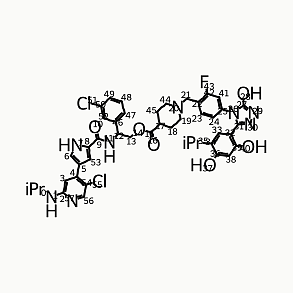 CC(C)Nc1cc(-c2c[nH]c(C(=O)NC(COC(=O)C3CCN(Cc4ccc(-n5c(O)nnc5-c5cc(C(C)C)c(O)cc5O)cc4F)CC3)c3cccc(Cl)c3)c2)c(Cl)cn1